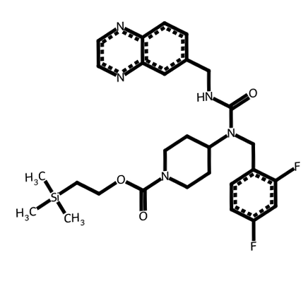 C[Si](C)(C)CCOC(=O)N1CCC(N(Cc2ccc(F)cc2F)C(=O)NCc2ccc3nccnc3c2)CC1